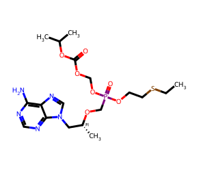 CCSCCOP(=O)(CO[C@H](C)Cn1cnc2c(N)ncnc21)OCOC(=O)OC(C)C